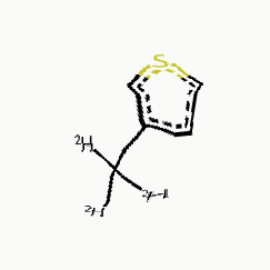 [2H]C([2H])([2H])c1ccsc1